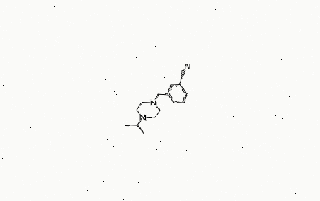 CC(C)N1CCN(Cc2cccc(C#N)c2)CC1